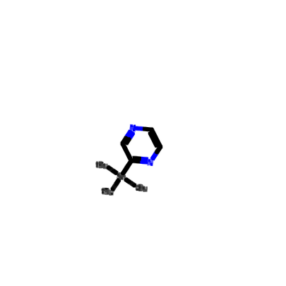 C[C](C)(C)[Sn]([c]1cnccn1)([C](C)(C)C)[C](C)(C)C